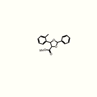 COC(=O)C1OC(c2ccccc2)OC1c1ccccc1C